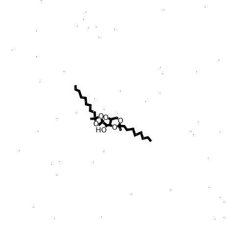 CCCCCCCCCC1(C)OCC2(OC3COC(C)(CCCCCCCC)OC3C2O)O1